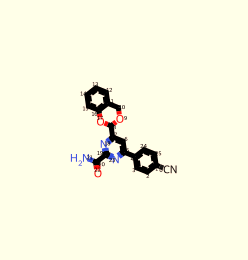 N#Cc1ccc(-c2cc(C3OCc4ccccc4O3)nc(C(N)=O)n2)cc1